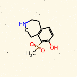 CS(=O)(=O)c1c(O)ccc2c1CCNCC2